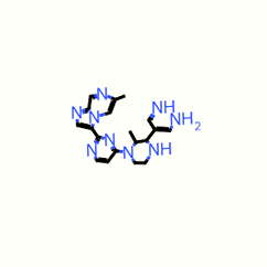 Cc1cn2c(-c3nccc(N4CCNC(/C(C=N)=C/N)C4C)n3)cnc2cn1